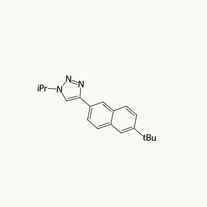 CC(C)n1cc(-c2ccc3cc(C(C)(C)C)ccc3c2)nn1